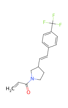 C=CC(=O)N1CCC(C=Cc2ccc(C(F)(F)F)cc2)C1